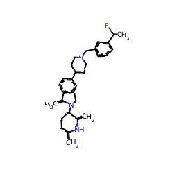 C=C1CCC(N2Cc3cc(C4CCN(Cc5cccc(C(C)F)c5)CC4)ccc3C2=C)C(=C)N1